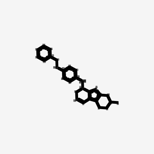 CC1CCc2c(sc3c2C=NCN3Nc2ccc(OCc3ccccc3)cc2)C1